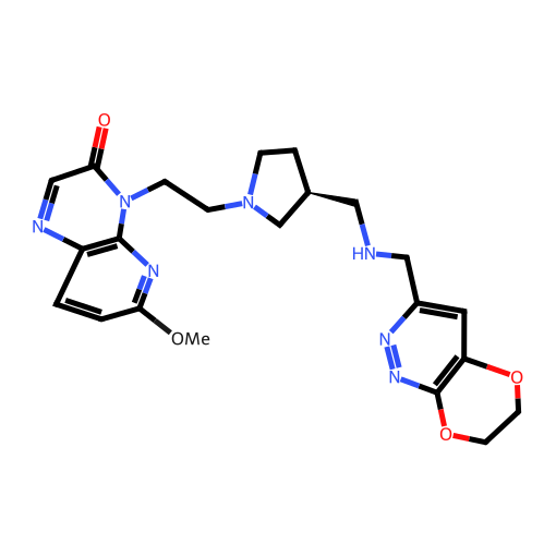 COc1ccc2ncc(=O)n(CCN3CC[C@@H](CNCc4cc5c(nn4)OCCO5)C3)c2n1